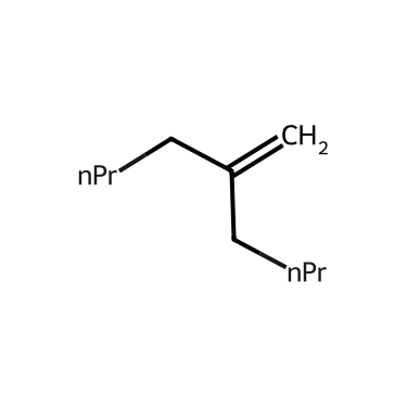 [CH2]CCCC(=C)CCCC